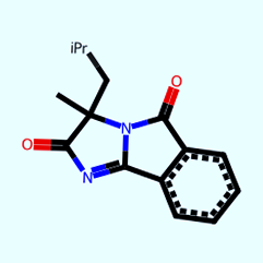 CC(C)CC1(C)C(=O)N=C2c3ccccc3C(=O)N21